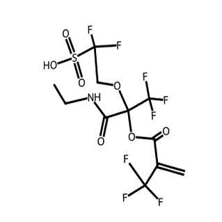 C=C(C(=O)OC(OCC(F)(F)S(=O)(=O)O)(C(=O)NCC)C(F)(F)F)C(F)(F)F